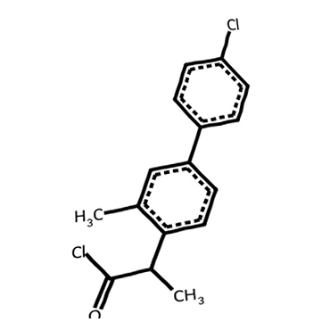 Cc1cc(-c2ccc(Cl)cc2)ccc1C(C)C(=O)Cl